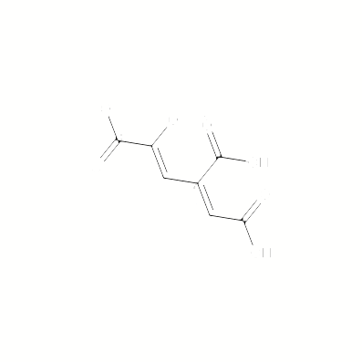 O=C(O)/C=C(/C=C(\O)C(=O)O)C(=O)O